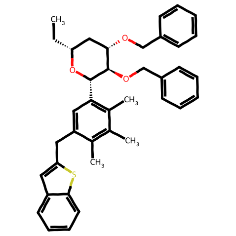 CC[C@@H]1C[C@H](OCc2ccccc2)[C@@H](OCc2ccccc2)[C@H](c2cc(Cc3cc4ccccc4s3)c(C)c(C)c2C)O1